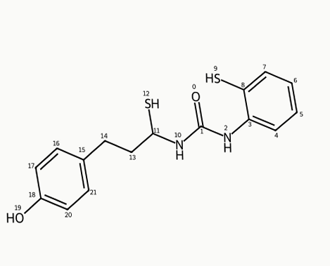 O=C(Nc1ccccc1S)NC(S)CCc1ccc(O)cc1